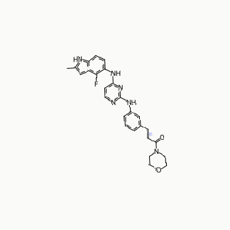 Cc1cc2c(F)c(Nc3ccnc(Nc4cccc(/C=C/C(=O)N5CCOCC5)c4)n3)ccc2[nH]1